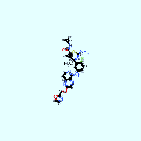 C[C@]1(c2cc(Nc3nccc4nc(OCc5ncco5)cnc34)ccc2F)N=C(N)S[C@@]2(C(=O)NC3CC3)C[C@H]21